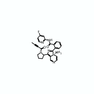 CC#CC(=O)N1CCCC1C1=C2C=NC=C[N+]2(N)C(c2ccccc2C(=O)Nc2cc(F)ccn2)=N1